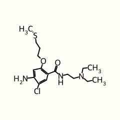 CCN(CC)CCNC(=O)c1cc(Cl)c(N)cc1OCCCSC